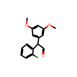 COc1cc(OC)cc(C(C=O)c2ccccc2F)c1